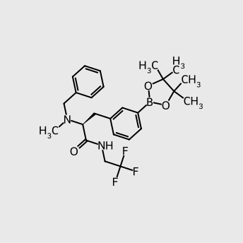 CN(Cc1ccccc1)[C@@H](Cc1cccc(B2OC(C)(C)C(C)(C)O2)c1)C(=O)NCC(F)(F)F